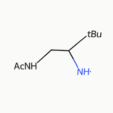 CC(=O)NCC([NH])C(C)(C)C